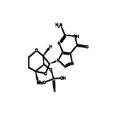 CC[C@@]12CCO[C@@H](C1OP(O)(=S)OC)[C@H](n1cnc3c(=O)[nH]c(N)nc31)O2